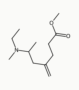 C=C(CCC(=O)OC)CC(C)N(C)CC